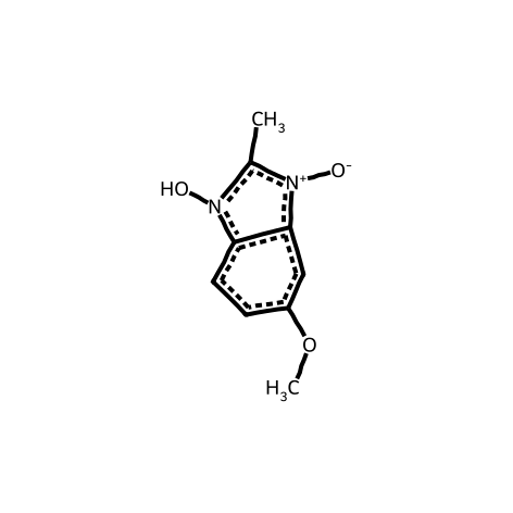 COc1ccc2c(c1)[n+]([O-])c(C)n2O